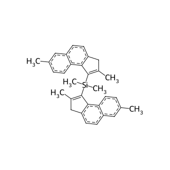 CC1=C([Si](C)(C)C2=C(C)Cc3ccc4cc(C)ccc4c32)c2c(ccc3cc(C)ccc23)C1